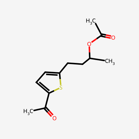 CC(=O)OC(C)CCc1ccc(C(C)=O)s1